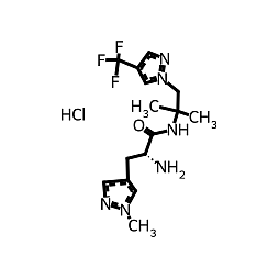 Cl.Cn1cc(C[C@@H](N)C(=O)NC(C)(C)Cn2cc(C(F)(F)F)cn2)cn1